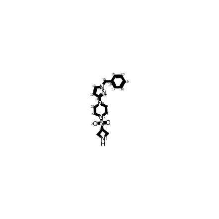 O=S(=O)(C1CNC1)N1CCN(c2ccn(Cc3ccccc3)n2)CC1